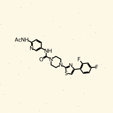 CC(=O)Nc1ccc(NC(=O)N2CCN(c3nc(-c4ccc(F)cc4F)cs3)CC2)cn1